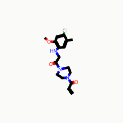 C=CC(=O)N1CCN(C(=O)CNc2cc(C)c(Cl)cc2OC)CC1